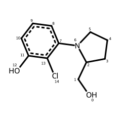 OCC1CCCN1c1cccc(O)c1Cl